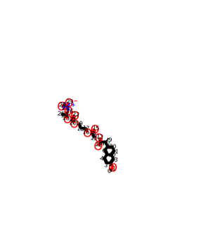 COc1ccc2cc([C@H](C)C(=O)OCC(=O)OCCCOC(=O)OC(C)O[N+](=O)[O-])ccc2c1